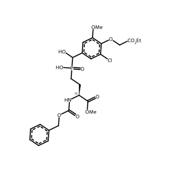 CCOC(=O)COc1c(Cl)cc(C(O)P(=O)(O)CC[C@H](NC(=O)OCc2ccccc2)C(=O)OC)cc1OC